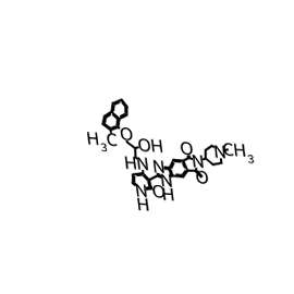 Cc1ccc2ccccc2c1OCC(O)CNc1cc[nH]c(=O)c1-c1nc2cc3c(cc2[nH]1)C(=O)N(C1CCN(C)CC1)C3=O